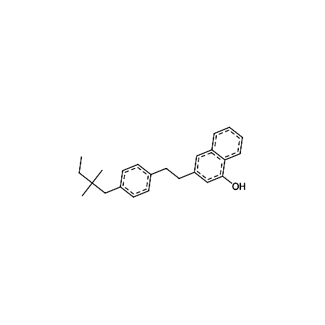 CCC(C)(C)Cc1ccc(CCc2cc(O)c3ccccc3c2)cc1